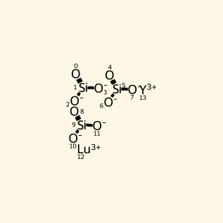 O=[Si]([O-])[O-].O=[Si]([O-])[O-].O=[Si]([O-])[O-].[Lu+3].[Y+3]